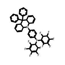 FC1=C(F)C(F)C(F)C(P(c2ccc(N3C4C=CC=CC4C(c4ccccc4)(c4ccccc4)C4C=CC=CC43)cc2)C2C(F)=C(F)C(F)=C(F)C2F)=C1F